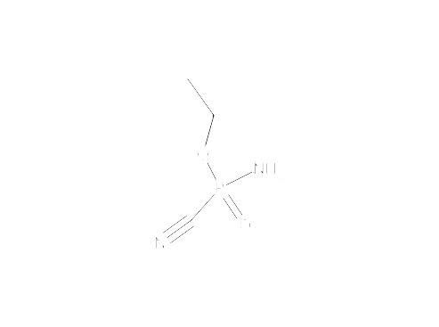 CCOP(N)(=O)C#N